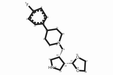 Fc1ccc(C2CCN(C[C@H]3CNC[C@H]3C3OCCO3)CC2)cc1